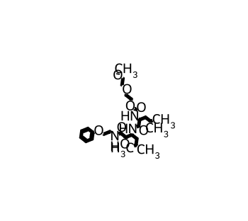 COCCOCCOC(=O)NC(CC(C)C)C(=O)NC(CC(C)C)C(=O)C(=O)NCCOc1ccccc1